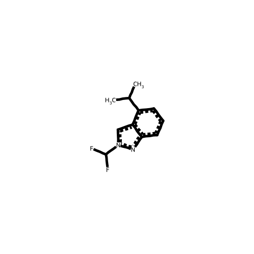 CC(C)c1cccc2nn(C(F)F)cc12